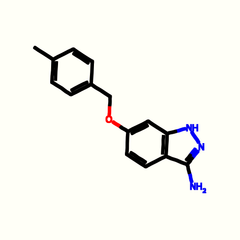 Cc1ccc(COc2ccc3c(N)n[nH]c3c2)cc1